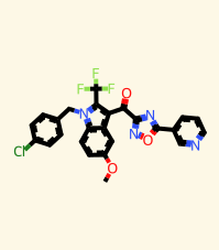 COc1ccc2c(c1)c(C(=O)c1noc(-c3cccnc3)n1)c(C(F)(F)F)n2Cc1ccc(Cl)cc1